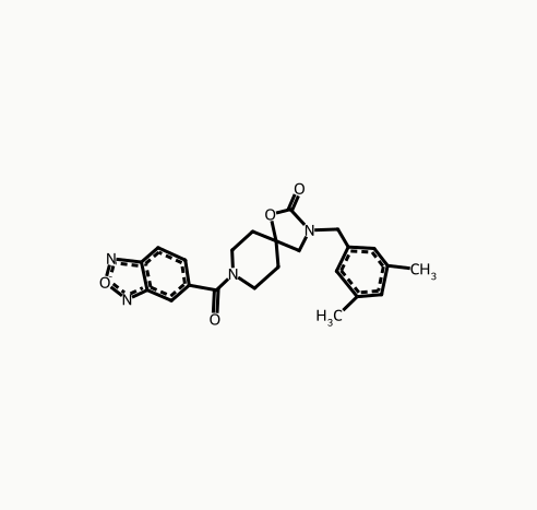 Cc1cc(C)cc(CN2CC3(CCN(C(=O)c4ccc5nonc5c4)CC3)OC2=O)c1